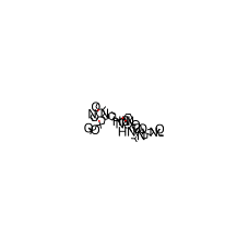 C=CC(=O)N1CC[C@@]2(CCN([C@H](C(=O)N[C@@H](Cc3nc(-c4ccc5c(c4)c(CC(C)(C)COC(C)=O)c(-c4cccnc4[C@H](C)OC)n5CC)cs3)C(=O)N3CCCCN3)C(C)C)C2=O)C1